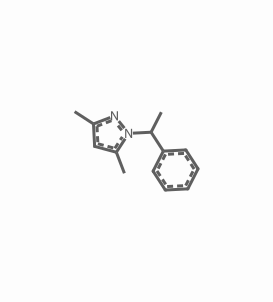 Cc1cc(C)n(C(C)c2ccccc2)n1